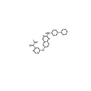 CNC(=O)c1cc(Oc2ccc3nc(Nc4ccc(-c5ccccc5)cc4)ncc3c2)ccn1